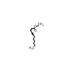 CCCCCCC#C/C=C\C(=O)OCC